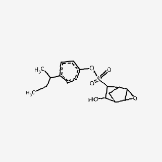 CCC(C)c1ccc(OS(=O)(=O)C2C(O)C3CC2C2OC32)cc1